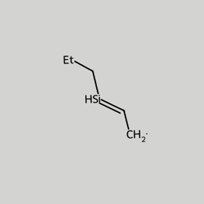 [CH2]C=[SiH]CCC